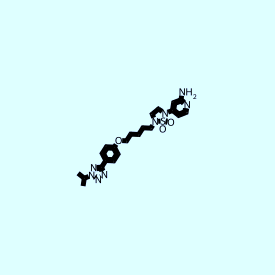 CC(C)n1nnc(-c2ccc(OCCCCCN3CCN(c4ccnc(N)c4)S3(=O)=O)cc2)n1